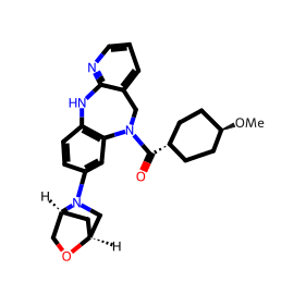 CO[C@H]1CC[C@H](C(=O)N2Cc3cccnc3Nc3ccc(N4C[C@@H]5C[C@H]4CO5)cc32)CC1